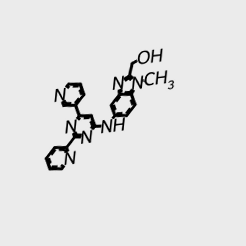 Cn1c(CO)nc2cc(Nc3cc(-c4cccnc4)nc(-c4ccccn4)n3)ccc21